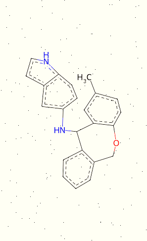 Cc1ccc2c(c1)C(Nc1ccc3[nH]ccc3c1)c1ccccc1CO2